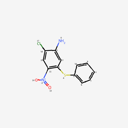 Nc1cc(Sc2ccccc2)c([N+](=O)[O-])cc1Cl